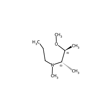 CCCN(C)[C@@H](C)[C@H](C)OC